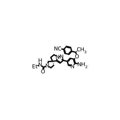 CCNC(=O)N1CC[C@@]2(CCn3nc(-c4cnc(N)c(O[C@@H](C)c5ccc(C#N)cc5)c4)cc32)C1